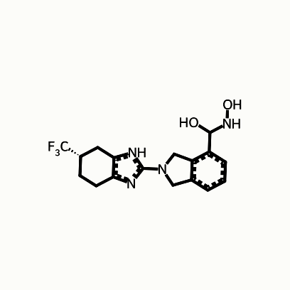 ONC(O)c1cccc2c1CN(c1nc3c([nH]1)C[C@@H](C(F)(F)F)CC3)C2